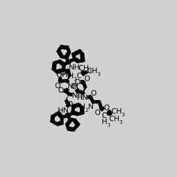 CC(C)(C)OC(=O)C[C@@H](N)C(=O)N[C@H](CC(=O)OC(C)(C)C)C(=O)N[C@H](CC(=O)NC(c1ccccc1)(c1ccccc1)c1ccccc1)C(=O)N[C@H](CC(=O)NC(c1ccccc1)(c1ccccc1)c1ccccc1)C(=O)O